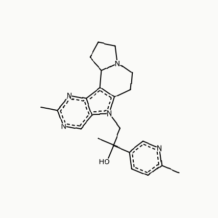 Cc1ccc(C(C)(O)Cn2c3c(c4nc(C)ncc42)C2CCCN2CC3)cn1